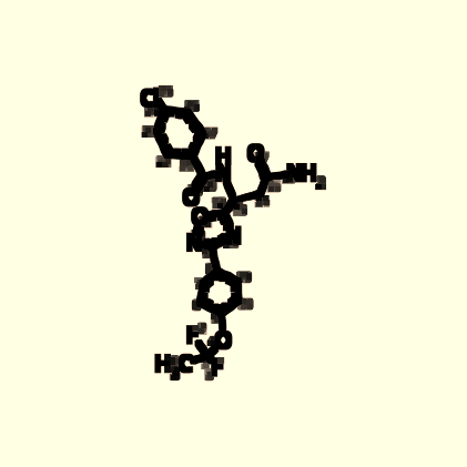 CC(F)(F)Oc1ccc(-c2noc([C@H](CC(N)=O)NC(=O)c3ccc(Cl)cc3)n2)cc1